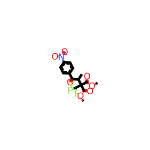 COC(=O)C(C(=O)OC)(C(C)C(=O)c1ccc([N+](=O)[O-])cc1)C(F)(F)F